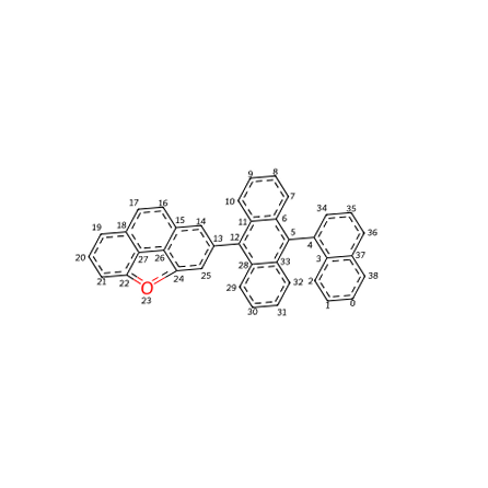 c1ccc2c(-c3c4ccccc4c(-c4cc5ccc6cccc7oc(c4)c5c67)c4ccccc34)cccc2c1